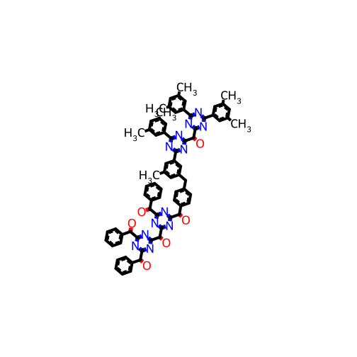 Cc1cc(C)cc(-c2nc(C(=O)c3nc(-c4cc(C)cc(C)c4)nc(-c4cc(C)cc(Cc5ccc(C(=O)c6nc(C(=O)c7ccccc7)nc(C(=O)c7nc(C(=O)c8ccccc8)nc(C(=O)c8ccccc8)n7)n6)cc5)c4)n3)nc(-c3cc(C)cc(C)c3)n2)c1